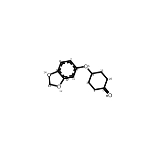 O=C1CCC(Oc2ccc3c(c2)OCO3)CC1